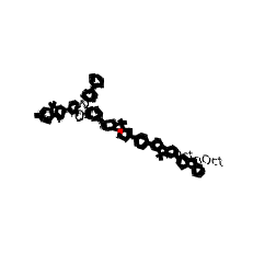 CCCCCCCCC1(CCCCCCCC)c2ccccc2-c2ccc(-c3ccc4c(c3)C(C)(C)c3cc(-c5ccc(-c6ccc7c(c6)C(C)(C)c6cc(-c8ccc9c(c8)Oc8cc(-c%10ccc%11c(c%10)C(C)(C)c%10cc(C)ccc%10-%11)ccc8N9c8ccc(-c9ccccc9)cc8)ccc6-7)cc5)ccc3-4)cc21